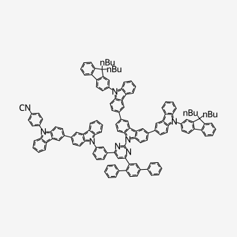 [C-]#[N+]c1ccc(-n2c3ccccc3c3cc(-c4ccc5c(c4)c4ccccc4n5-c4cccc(-c5cc(-c6cc(-c7ccccc7)ccc6-c6ccccc6)nc(-n6c7ccc(-c8ccc9c(c8)c8ccccc8n9-c8ccc9c(c8)C(CCCC)(CCCC)c8ccccc8-9)cc7c7cc(-c8ccc9c(c8)c8ccccc8n9-c8ccc9c(c8)C(CCCC)(CCCC)c8ccccc8-9)ccc76)n5)c4)ccc32)cc1